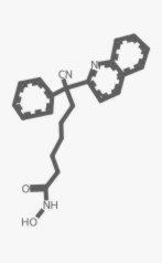 N#CC(CCCCCC(=O)NO)(c1ccccc1)c1ccc2ccccc2n1